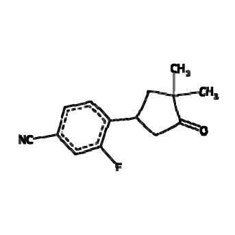 CC1(C)CC(c2ccc(C#N)cc2F)CC1=O